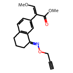 C#CCO/N=C1\CCCc2ccc(/C(=C\OC)C(=O)OC)cc21